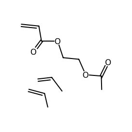 C=CC.C=CC.C=CC(=O)OCCOC(C)=O